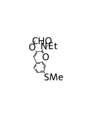 CCN(C)C(=O)/C(=C\c1ccc(SC)cc1)OC=O